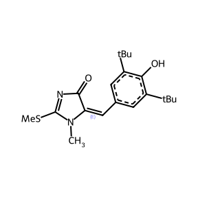 CSC1=NC(=O)/C(=C\c2cc(C(C)(C)C)c(O)c(C(C)(C)C)c2)N1C